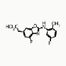 Cc1ccc(F)cc1Nc1nc2c(F)cc(CC(=O)O)cc2o1